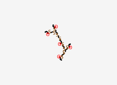 C=CC(=O)SCCSCC(CSC(=O)C=C)SCCSC(=O)CCSCCSCC(CSC(=O)C=C)SCCSC(=O)C=C